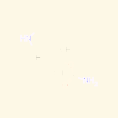 C1CCNC1.CC(C)(C)OC(N)=O